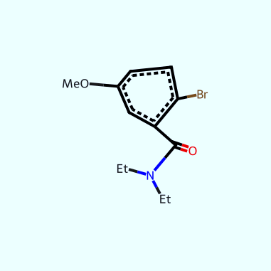 CCN(CC)C(=O)c1cc(OC)ccc1Br